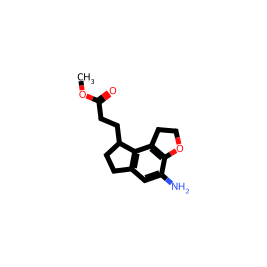 COC(=O)CCC1CCc2cc(N)c3c(c21)CCO3